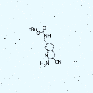 CC(C)(C)OC(=O)NCc1ccc2cc(C#N)c(N)nc2c1